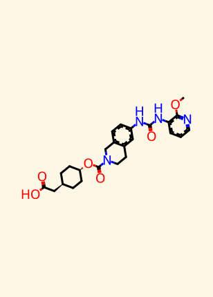 COc1ncccc1NC(=O)Nc1ccc2c(c1)CCN(C(=O)O[C@H]1CC[C@H](CC(=O)O)CC1)C2